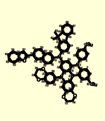 CC(C)(C)c1ccc(N2c3ccc(C(C)(C)C)cc3B3c4cc5c(cc4N(c4ccc6c(c4)OCCO6)c4cc(N(c6ccc7c(c6)C(C)(C)c6ccccc6-7)c6ccc7cc(-c8cc9ccccc9o8)ccc7c6)cc2c43)OCCO5)cc1